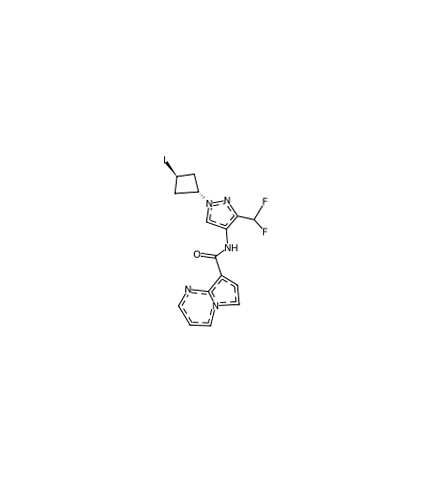 O=C(Nc1cn([C@H]2C[C@H](I)C2)nc1C(F)F)c1ccn2cccnc12